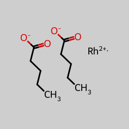 CCCCC(=O)[O-].CCCCC(=O)[O-].[Rh+2]